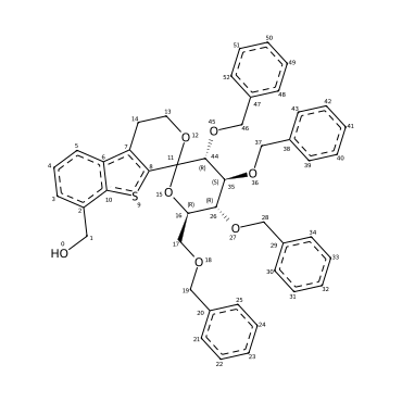 OCc1cccc2c3c(sc12)C1(OCC3)O[C@H](COCc2ccccc2)[C@@H](OCc2ccccc2)[C@H](OCc2ccccc2)[C@H]1OCc1ccccc1